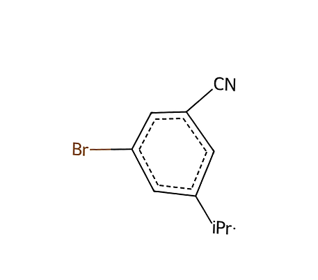 C[C](C)c1cc(Br)cc(C#N)c1